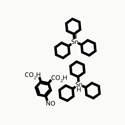 C1CC[CH]([SnH]([CH]2CCCCC2)[CH]2CCCCC2)CC1.C1CC[CH]([SnH]([CH]2CCCCC2)[CH]2CCCCC2)CC1.O=Nc1ccc(C(=O)O)c(C(=O)O)c1